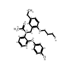 CCc1ccc(OCCCF)c(CN(C(C)=O)c2cccnc2Oc2ccc(Cl)cc2)c1